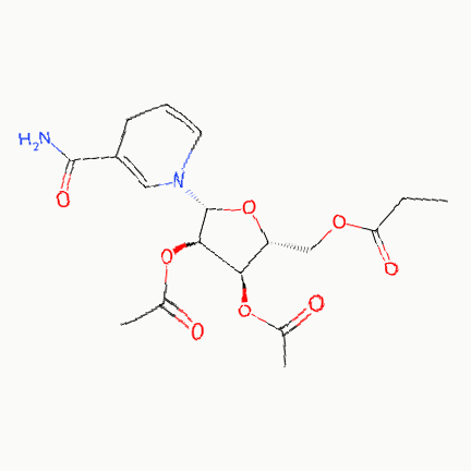 CCC(=O)OC[C@H]1O[C@@H](N2C=CCC(C(N)=O)=C2)[C@H](OC(C)=O)[C@@H]1OC(C)=O